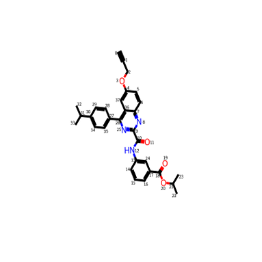 C#CCOc1ccc2nc(C(=O)Nc3cccc(C(=O)OC(C)C)c3)nc(-c3ccc(C(C)C)cc3)c2c1